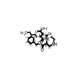 CCCCC[C@H](CC(=O)O)C(=O)[N@+]1(C(=O)O)CCNCC1C(=O)OCc1ccccc1